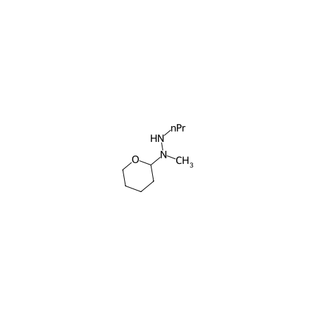 CCCNN(C)C1CCCCO1